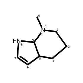 CN1CCCC2C=CNC21